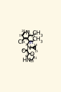 C/C=C(/CN(C(=O)C1CNCCO1)C1=CC1)c1c(Cl)ccnc1CC